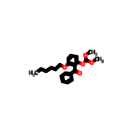 CCCCCCOc1cccc(OC(OC)OC)c1C(=O)c1ccccc1